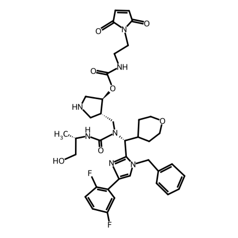 C[C@@H](CO)NC(=O)N(C[C@@H]1CNC[C@H]1OC(=O)NCCN1C(=O)C=CC1=O)[C@@H](c1nc(-c2cc(F)ccc2F)cn1Cc1ccccc1)C1CCOCC1